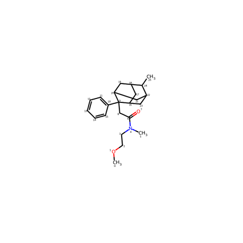 COCCN(C)C(=O)CC1(c2ccccc2)C2CC3CC1CC(C2)C3C